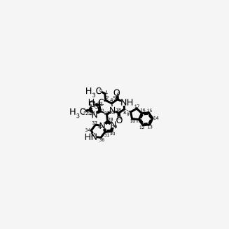 CC[C@H](C)[C@@H]1C(=O)N[C@H](C2Cc3ccccc3C2)C(=O)N1[C@H](c1coc(C)n1)c1ncc2n1CCNC2